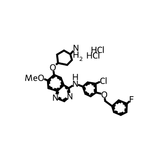 COc1cc2ncnc(Nc3ccc(OCc4cccc(F)c4)c(Cl)c3)c2cc1OC1CCC(N)CC1.Cl.Cl